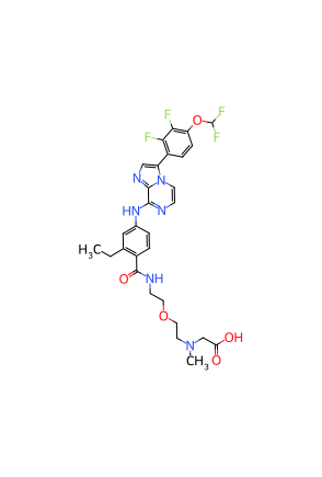 CCc1cc(Nc2nccn3c(-c4ccc(OC(F)F)c(F)c4F)cnc23)ccc1C(=O)NCCOCCN(C)CC(=O)O